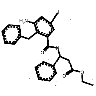 CCOC(=O)CC(NC(=O)c1cc(I)cc(N)c1Cc1ccccc1)c1ccccc1